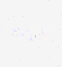 CCN(c1ncccc1NC(C)(C)C)C1CCN(C(=O)c2c[nH]c3ccc(NS(C)(=O)=O)cc23)CC1